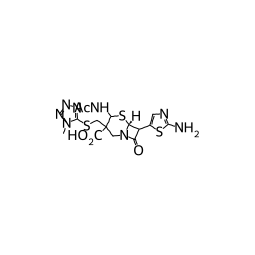 CC(=O)NC1S[C@@H]2C(c3cnc(N)s3)C(=O)N2CC1(CSc1nnnn1C)C(=O)O